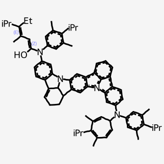 CC/C(=C(C)\C=C(/O)N(c1cc(C)c(C(C)C)c(C)c1)c1ccc2c(c1)N1c3cc4c5cccc6c7ccc(N(c8cc(C)c(C(C)C)c(C)c8)C8C=CC(C)=C(C(C)C)C(C)=C8)cc7n(c4cc3C3CCC=C2C31)c65)C(C)C